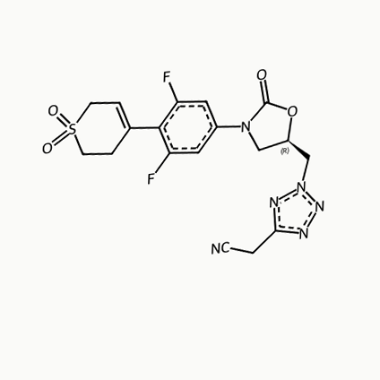 N#CCc1nnn(C[C@H]2CN(c3cc(F)c(C4=CCS(=O)(=O)CC4)c(F)c3)C(=O)O2)n1